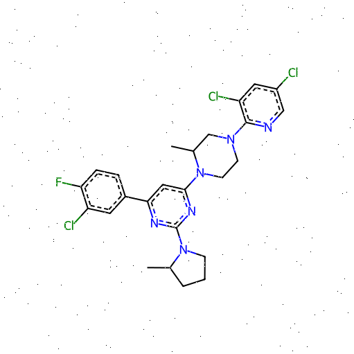 CC1CN(c2ncc(Cl)cc2Cl)CCN1c1cc(-c2ccc(F)c(Cl)c2)nc(N2CCCC2C)n1